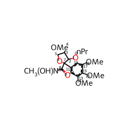 CCCOC1C(OC)COC1(C(=O)N(C)O)c1cc(OC)c(OC)c(OC)c1